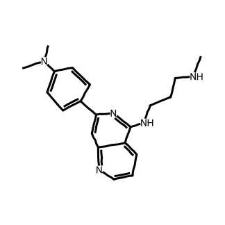 CNCCCNc1nc(-c2ccc(N(C)C)cc2)cc2ncccc12